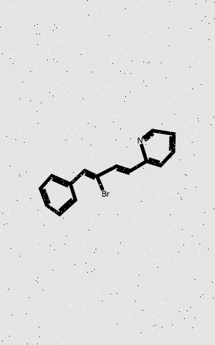 BrC(C=Cc1ccccn1)=Cc1ccccc1